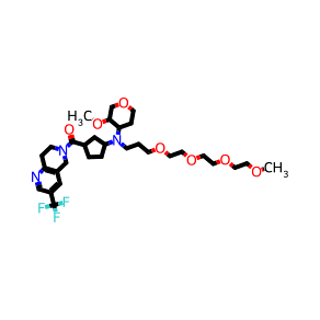 COCCOCCOCCOCCCN(C1CCC(C(=O)N2CCc3ncc(C(F)(F)F)cc3C2)C1)C1CCOCC1OC